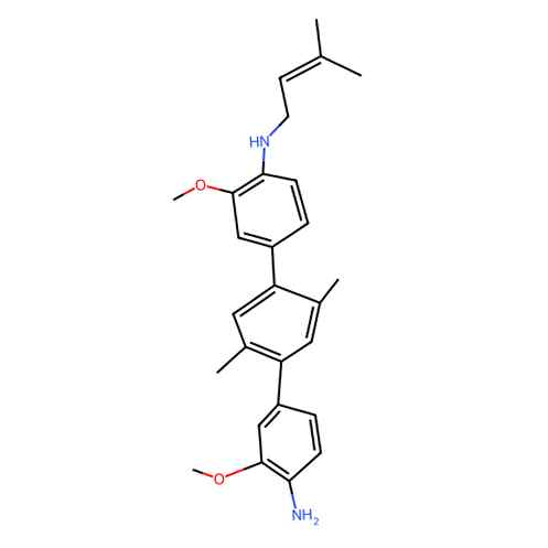 COc1cc(-c2cc(C)c(-c3ccc(NCC=C(C)C)c(OC)c3)cc2C)ccc1N